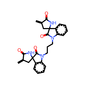 C=C1CC2(NC1=O)C(=O)N(CCCN1C(=O)C3(CC(=C)C(=O)N3)c3ccccc31)c1ccccc12